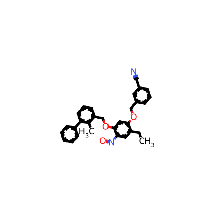 CCc1cc(N=O)c(OCc2cccc(-c3ccccc3)c2C)cc1OCc1cccc(C#N)c1